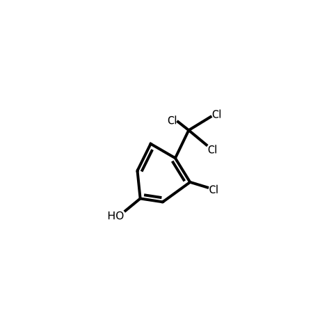 Oc1ccc(C(Cl)(Cl)Cl)c(Cl)c1